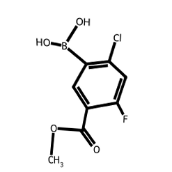 COC(=O)c1cc(B(O)O)c(Cl)cc1F